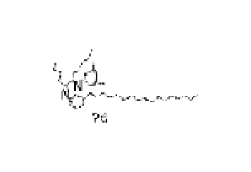 CCCCCCCCCCCCCCCCCc1cccc(N=C(CCCC)C(CCCCC)=Nc2cc(C)cc(C)c2)c1.[Pd]